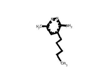 CCCCCc1cc(C)nnc1N